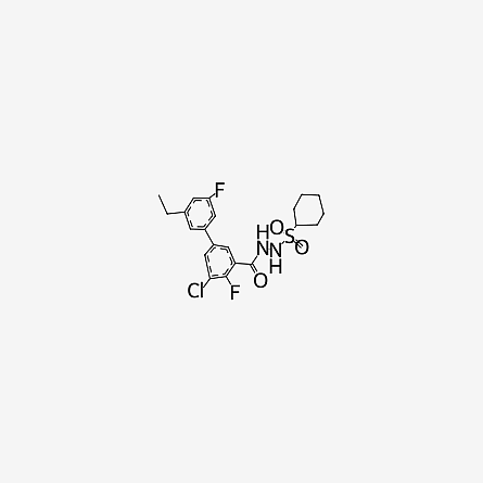 CCc1cc(F)cc(-c2cc(Cl)c(F)c(C(=O)NNS(=O)(=O)C3CCCCC3)c2)c1